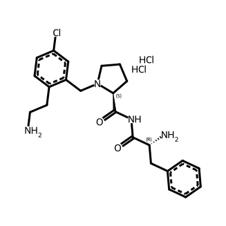 Cl.Cl.NCCc1ccc(Cl)cc1CN1CCC[C@H]1C(=O)NC(=O)[C@H](N)Cc1ccccc1